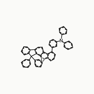 c1ccc(N(c2ccccc2)c2cccc(-c3cccc4oc5c6c(ccc5c34)-c3ccccc3C6(c3ccccc3)c3ccccc3)c2)cc1